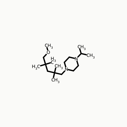 COCC(C)(C)CC(C)(C)CN1CCN(C(C)C)CC1